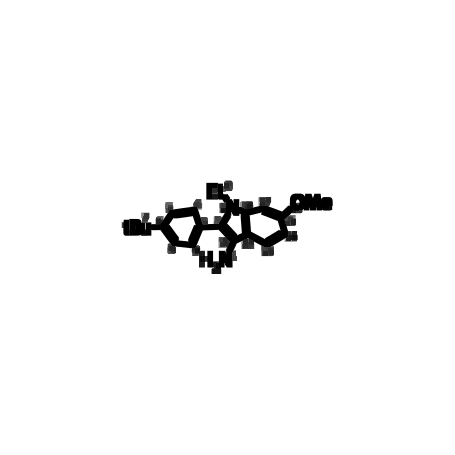 CCn1c(-c2ccc(C(C)(C)C)cc2)c(N)c2ccc(OC)cc21